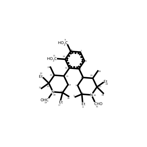 CCC1(C)CC(c2ccc(C(=O)O)c(C(=O)O)c2C2CC(C)(CC)N(C=O)C(C)(CC)C2C)C(C)C(C)(CC)N1C=O